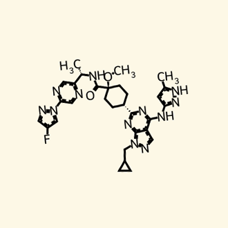 CO[C@]1(C(=O)N[C@@H](C)c2cnc(-n3cc(F)cn3)cn2)CC[C@@H](c2nc(Nc3cc(C)[nH]n3)c3cnn(CC4CC4)c3n2)CC1